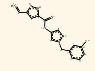 C=Cc1cc(C(=O)Nc2cnn(Cc3cccc(F)c3)c2)no1